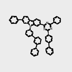 c1ccc(-c2ccc(-c3nc(-c4ccccc4)nc(-c4ccc5c6ccc(-c7ccccc7)cc6n(-c6cccc(-c7cccc(-c8ccccc8)c7)c6)c5c4)n3)cc2)cc1